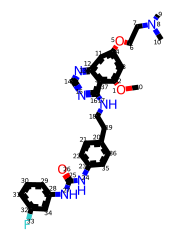 COc1cc(OCCN(C)C)cc2ncnc(NCCc3ccc(NC(=O)Nc4cccc(F)c4)cc3)c12